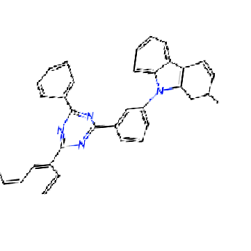 C=C/C(=C\C=C/C)c1nc(-c2ccccc2)nc(-c2cccc(-n3c4c(c5ccccc53)C=CC(C)C4)c2)n1